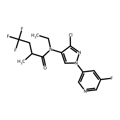 CCN(C(=O)C(C)CC(F)(F)F)c1cn(-c2cncc(F)c2)nc1Cl